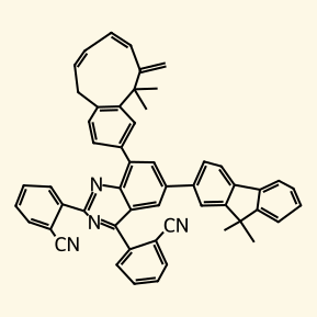 C=C1/C=C\C=C/Cc2ccc(-c3cc(-c4ccc5c(c4)C(C)(C)c4ccccc4-5)cc4c(-c5ccccc5C#N)nc(-c5ccccc5C#N)nc34)cc2C1(C)C